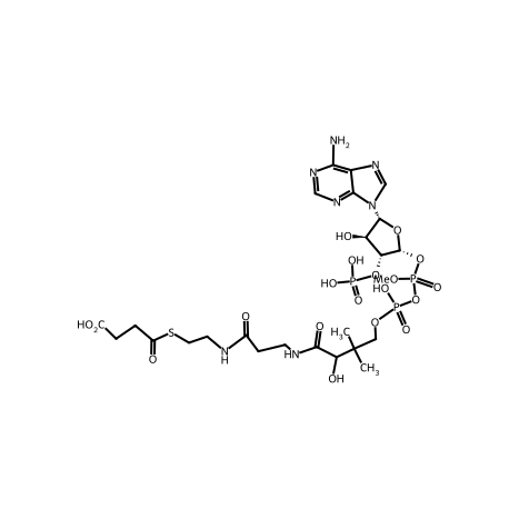 COP(=O)(O[C@H]1O[C@@H](n2cnc3c(N)ncnc32)[C@H](O)[C@H]1OP(=O)(O)O)OP(=O)(O)OCC(C)(C)C(O)C(=O)NCCC(=O)NCCSC(=O)CCC(=O)O